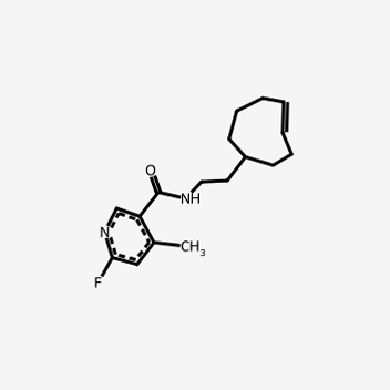 Cc1cc(F)ncc1C(=O)NCCC1CC/C=C/CCC1